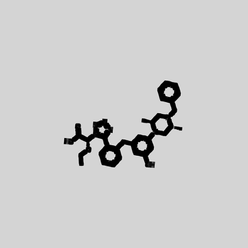 CCO[C@H](C(=O)O)n1nnnc1-c1ccccc1Cc1cc(O)cc(N2C[C@@H](C)N(Cc3ccccc3)C[C@@H]2C)c1